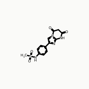 CS(=O)(=O)Nc1ccc(-c2cn3c(n2)NC(=O)CC3=O)cc1